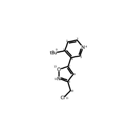 CC(C)(C)c1ccn[c]c1-c1cc(CCl)no1